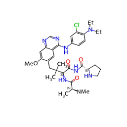 CCN(CC)c1ccc(Nc2ncnc3cc(OC)c(CC(C)(C)[C@H](NC(=O)[C@H](C)NC)C(=O)NC(=O)[C@@H]4CCCN4)cc23)cc1Cl